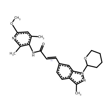 COc1cc(C)c(NC(=O)/C=C/c2ccc3c(C)nn(C4CCCCO4)c3c2)c(C)n1